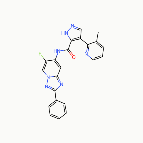 Cc1cccnc1-c1cn[nH]c1C(=O)Nc1cc2nc(-c3ccccc3)nn2cc1F